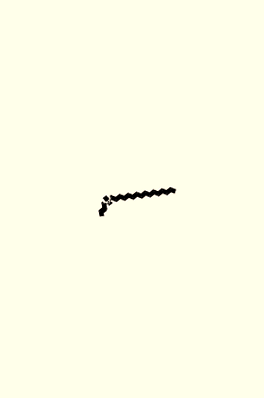 CC=CC[Si](C)(C)CCCCCCCCCCCCCCCC